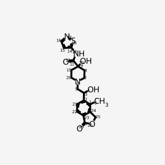 Cc1c(C(O)CN2CCC(O)(C(=O)Nc3ccns3)CC2)ccc2c1COC2=O